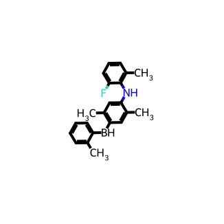 Cc1ccccc1Bc1cc(C)c(Nc2c(C)cccc2F)cc1C